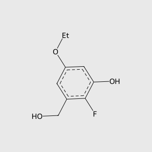 CCOc1cc(O)c(F)c(CO)c1